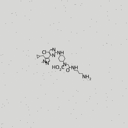 Cn1ncc(-c2nc(NC3CCC(N(CC(=O)NCCCCN)C(=O)O)CC3)ncc2Cl)c1CC1CC1